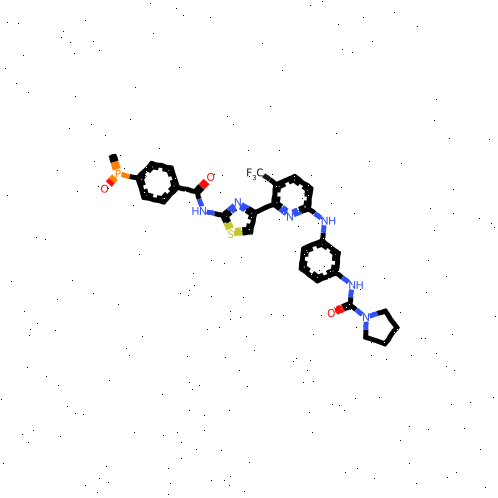 C=P(=O)c1ccc(C(=O)Nc2nc(-c3nc(Nc4cccc(NC(=O)N5CCCC5)c4)ccc3C(F)(F)F)cs2)cc1